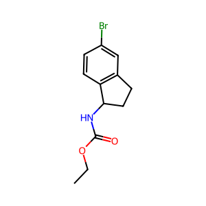 CCOC(=O)NC1CCc2cc(Br)ccc21